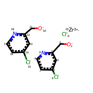 [Cl-].[O-]Cc1cc(Cl)ccn1.[O-]Cc1cc(Cl)ccn1.[Zr+3]